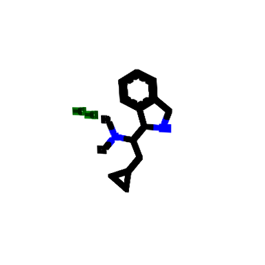 CCN(CC)C(CC1CC1)C1NCc2ccccc21.Cl.Cl